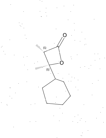 C[C@@H]1C(=O)O[C@@]1(C)C1CCCCC1